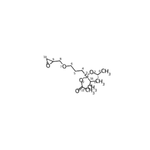 CCO[Si](CCCOCC1CO1)(OC(C)=O)C(C)C